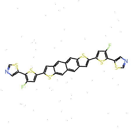 Fc1cc(-c2cc3cc4cc5sc(-c6cc(F)c(-c7cncs7)s6)cc5cc4cc3s2)sc1-c1cncs1